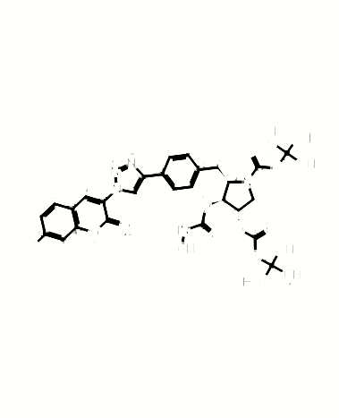 CNC(=O)O[C@@H]1[C@@H](OC(=O)OC(C)(C)C)CN(C(=O)OC(C)(C)C)[C@@H]1Cc1ccc(-c2cn(-c3cc4ccc(O)cc4oc3=O)nn2)cc1